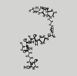 C=C(NCCCCCc1cccc2nc(N)c(CCCCC)cc12)OCc1ccc(NC(=O)[C@H](C)NC(=O)[C@@H](NC(=O)CCCCN2C(=O)C=CC2O)C(C)C)cc1